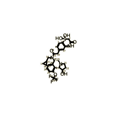 O=C1CS(O)(O)c2ccc(CC(=O)N(CC3CC3)[C@H](CN3CCC(O)C3)c3cccc(OC(F)(F)F)c3)cc2N1